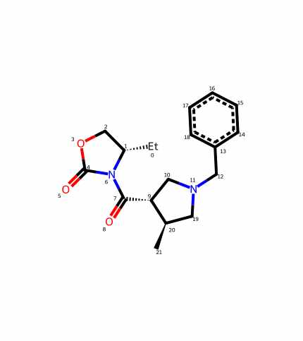 CC[C@H]1COC(=O)N1C(=O)[C@@H]1CN(Cc2ccccc2)C[C@H]1C